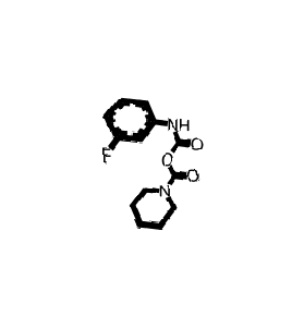 O=C(Nc1cccc(F)c1)OC(=O)N1CCCCC1